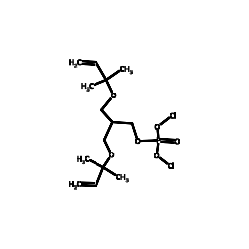 C=CC(C)(C)OCC(COC(C)(C)C=C)COP(=O)(OCl)OCl